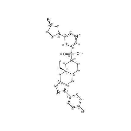 CC[C@]12Cc3cnn(-c4ccc(F)cc4)c3C=C1CCN(S(=O)(=O)c1cncc(N3CC[C@@H](F)C3)c1)C2